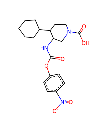 O=C(NC1CN(C(=O)O)CCC1C1CCCCC1)Oc1ccc([N+](=O)[O-])cc1